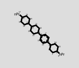 CCCC1CCC(c2ccc(C3CCC(C4CCC(CCC)CC4)CC3)cc2)CC1